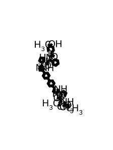 COC(=O)N[C@H](C(=O)N1CCC[C@H]1c1ncc(-c2ccc(-c3ccc(-c4cnc([C@@H]5CCCN5C(=O)[C@H](NC(=O)N5CCC(C)(O)CC5)c5ccccc5)[nH]4)cc3)cc2)[nH]1)C(C)C